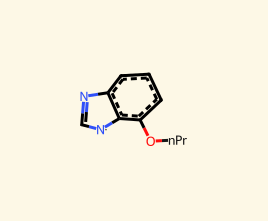 CCCOc1cccc2c1[N]C=N2